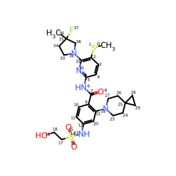 CSc1ccc(NC(=O)c2ccc(NS(=O)(=O)CCO)cc2N2CCC3(CC2)CC3)nc1N1CCC(C)(F)C1